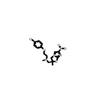 CN(CCOc1ccc(Cl)cc1)CC1(C)Cn2cc([N+](=O)[O-])nc2O1